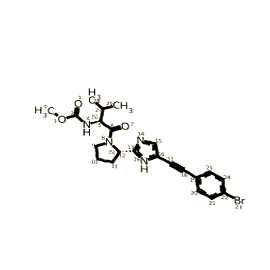 COC(=O)N[C@H](C(=O)N1CCC[C@H]1c1ncc(C#Cc2ccc(Br)cc2)[nH]1)C(C)C